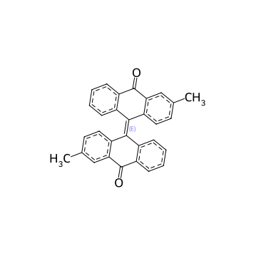 Cc1ccc2c(c1)C(=O)c1ccccc1/C2=C1/c2ccccc2C(=O)c2cc(C)ccc21